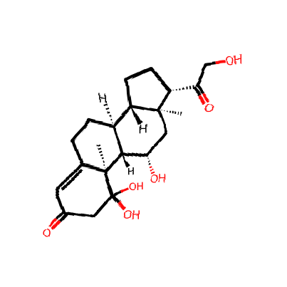 C[C@]12C[C@H](O)[C@H]3[C@@H](CCC4=CC(=O)CC(O)(O)[C@@]43C)[C@@H]1CC[C@@H]2C(=O)CO